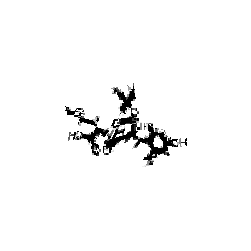 CSCC[C@H](NC(=O)[C@H](Cc1c(C)cc(O)cc1C)NC(=O)OC(C)(C)C)C(=O)O